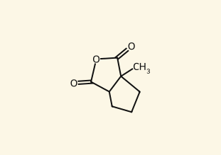 CC12CCCC1C(=O)OC2=O